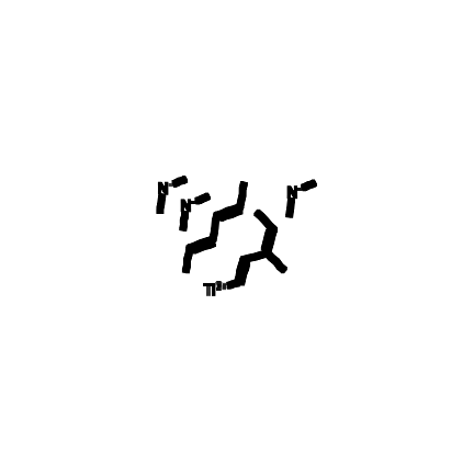 CC=C(C)C=[CH][Ti+3].CC=CC=CC.C[N-]C.C[N-]C.C[N-]C